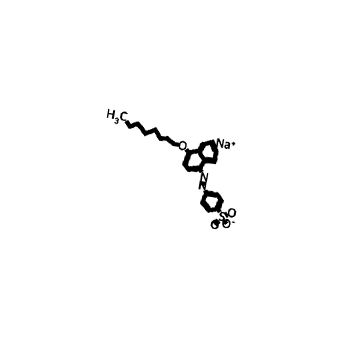 CCCCCCCCOc1ccc(N=Nc2ccc(S(=O)(=O)[O-])cc2)c2ccccc12.[Na+]